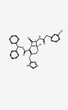 O=C(Cc1cccc(Cl)c1)N[C@@H]1C(=O)N2C(C(=O)OC(c3ccccc3)c3ccccc3)=C(Sc3nnc[nH]3)CS[C@H]12